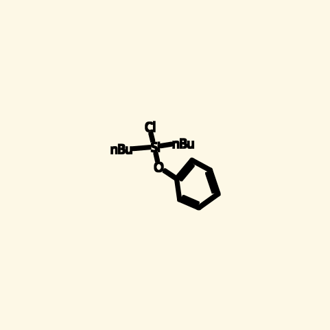 CCCC[Si](Cl)(CCCC)Oc1ccccc1